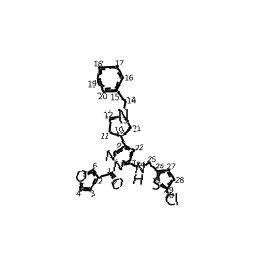 O=C(c1ccoc1)n1nc(C2CCN(Cc3ccccc3)C2)cc1NCc1ccc(Cl)s1